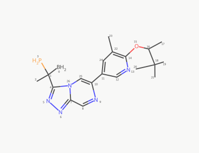 BC(C)(P)c1nnc2cnc(-c3cnc(OC(C)C(C)(C)C)c(C)c3)cn12